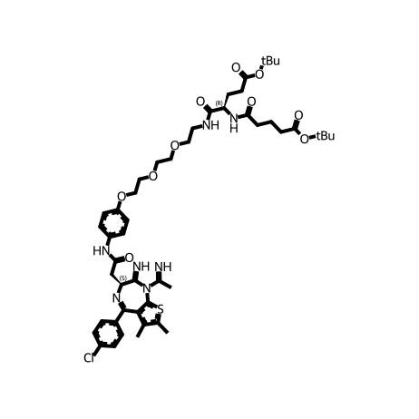 CC(=N)N1C(=N)[C@H](CC(=O)Nc2ccc(OCCOCCOCCNC(=O)[C@@H](CCC(=O)OC(C)(C)C)NC(=O)CCCC(=O)OC(C)(C)C)cc2)N=C(c2ccc(Cl)cc2)c2c1sc(C)c2C